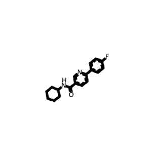 O=C(NC1CCCCC1)c1ccc(-c2ccc(F)cc2)nc1